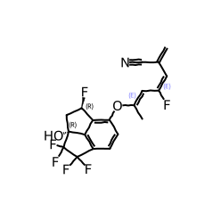 C=C(C#N)/C=C(F)\C=C(/C)Oc1ccc2c3c1[C@H](F)C[C@]3(O)C(F)(F)C2(F)F